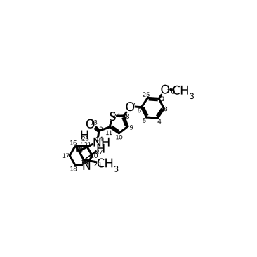 COc1cccc(Oc2ccc(C(=O)N[C@@H]3C4CCN(CC4)[C@H]3C)s2)c1